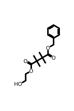 CC(C)(C(=O)OCCO)C(C)(C)C(=O)OCc1ccccc1